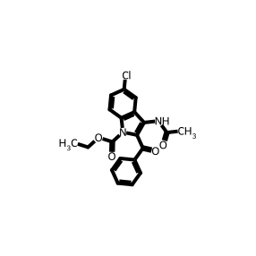 CCOC(=O)n1c(C(=O)c2ccccc2)c(NC(C)=O)c2cc(Cl)ccc21